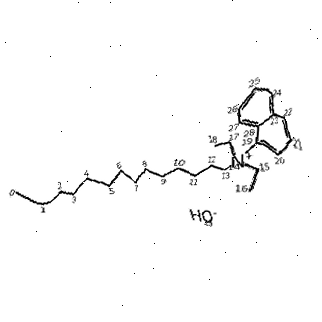 CCCCCCCCCCCCCC[N+](CC)(CC)c1cccc2ccccc12.[OH-]